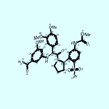 COC(=O)Nc1ccc(S(=O)(=O)C(C)C)c([C@H]2CCCN2C(=O)[C@@H](Nc2cc(OC)cc(C(N)=O)c2)c2ccc(OC)c(OC)c2)c1